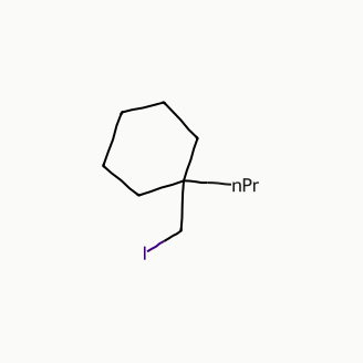 CCCC1(CI)CCCCC1